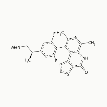 CNC[C@H](C)c1cc(F)c(-c2c(C)nc(C)c3[nH]c(=O)c4sccc4c23)c(F)c1